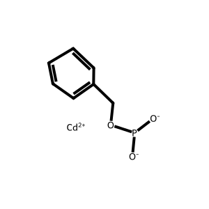 [Cd+2].[O-]P([O-])OCc1ccccc1